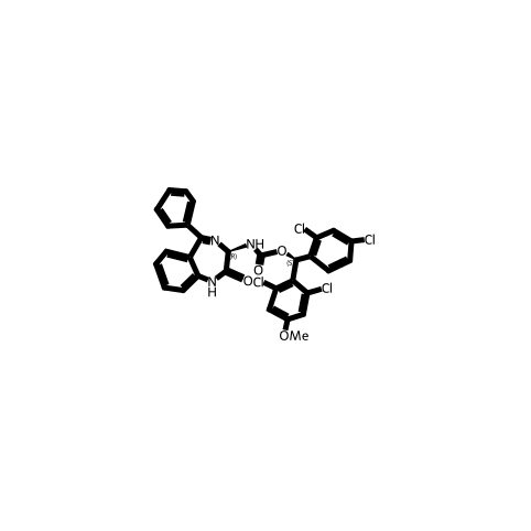 COc1cc(Cl)c([C@@H](OC(=O)N[C@@H]2N=C(c3ccccc3)c3ccccc3NC2=O)c2ccc(Cl)cc2Cl)c(Cl)c1